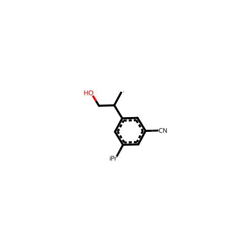 [CH2]C(CO)c1cc(C#N)cc(C(C)C)c1